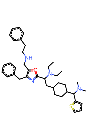 CCN(CC)C(CC1CCC(C(c2cccs2)N(C)C)CC1)c1nc(Cc2ccccc2)c(CNCCc2ccccc2)o1